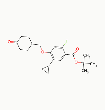 CC(C)(C)OC(=O)c1cc(C2CC2)c(OCC2CCC(=O)CC2)cc1F